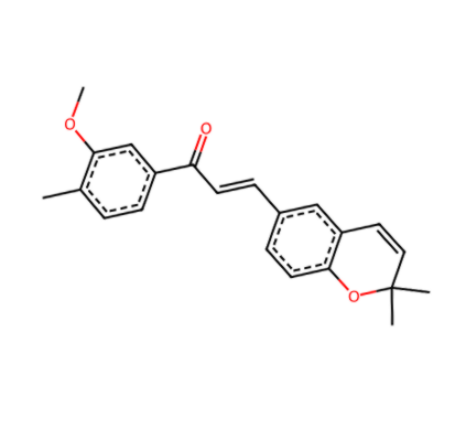 COc1cc(C(=O)/C=C/c2ccc3c(c2)C=CC(C)(C)O3)ccc1C